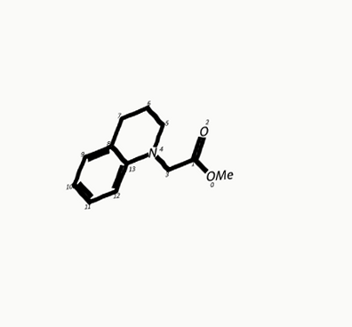 COC(=O)CN1CCCc2c[c]ccc21